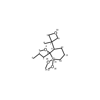 CCCC1(OC)C(C2(C)COC2)CCC[Si]1(OC)OC